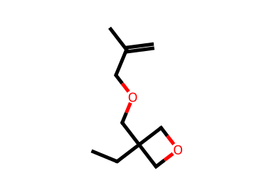 C=C(C)COCC1(CC)COC1